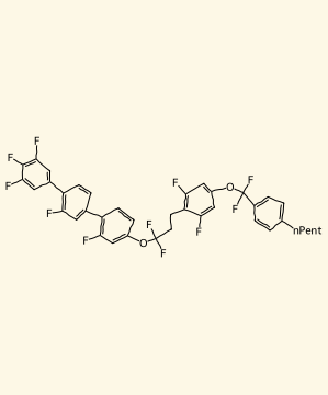 CCCCCc1ccc(C(F)(F)Oc2cc(F)c(CCC(F)(F)Oc3ccc(-c4ccc(-c5cc(F)c(F)c(F)c5)c(F)c4)c(F)c3)c(F)c2)cc1